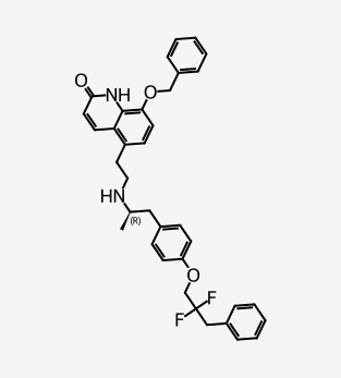 C[C@H](Cc1ccc(OCC(F)(F)Cc2ccccc2)cc1)NCCc1ccc(OCc2ccccc2)c2[nH]c(=O)ccc12